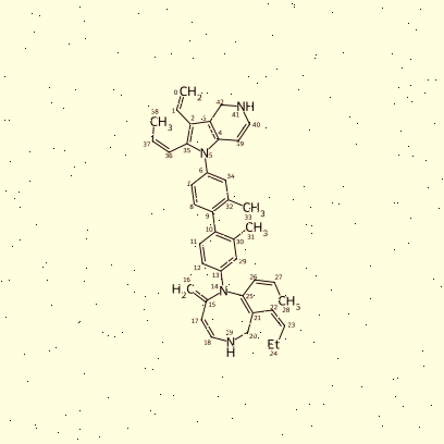 C=Cc1c2c(n(-c3ccc(-c4ccc(N5C(=C)/C=C\NCC(/C=C\CC)=C5/C=C\C)cc4C)c(C)c3)c1/C=C\C)C=CNC2